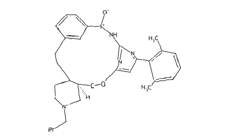 Cc1cccc(C)c1-c1cc2nc(n1)N[S+]([O-])c1cccc(c1)CCC1CCN(CC(C)C)C[C@@H]1CO2